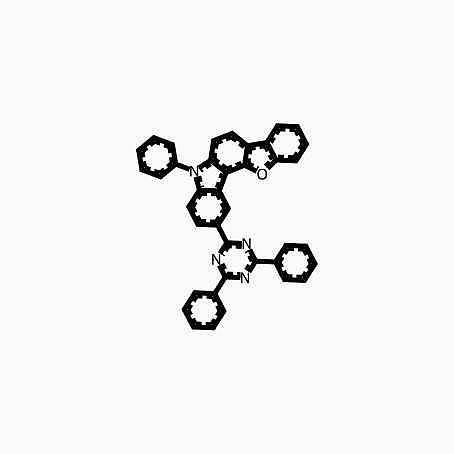 c1ccc(-c2nc(-c3ccccc3)nc(-c3ccc4c(c3)c3c5oc6ccccc6c5ccc3n4-c3ccccc3)n2)cc1